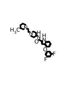 CC1CCCN(CCN2CCC(NC(=O)c3cc4c(Oc5cc(F)cc(F)c5)cccc4[nH]3)CC2)C1